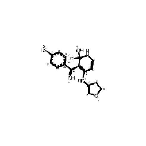 CC1(O)NC=CC(NC2CCOC2)=C1C(=N)c1ccc(S)cc1